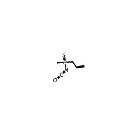 C=CCP(C)(=S)N=C=O